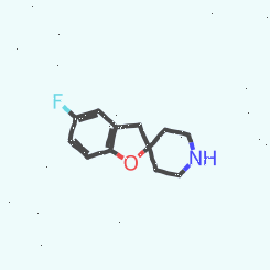 Fc1ccc2c(c1)CC1(CCNCC1)O2